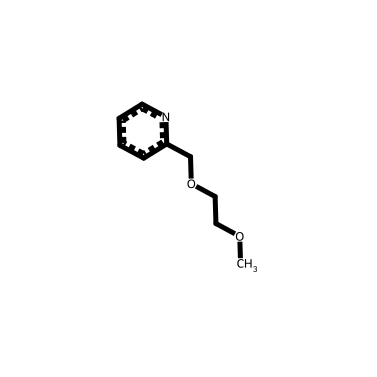 COCCOCc1ccccn1